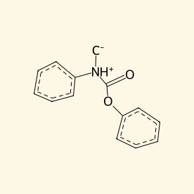 [CH2-][NH+](C(=O)Oc1ccccc1)c1ccccc1